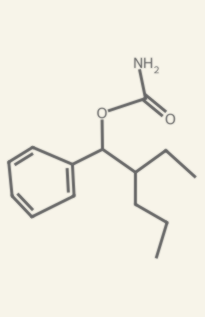 CCCC(CC)C(OC(N)=O)c1ccccc1